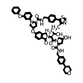 Cc1ncsc1-c1ccc(CNC(=O)[C@@H]2C[C@@H](Oc3ccc4c(c3)CN([C@H](C(=O)N3C[C@H](O)C[C@H]3C(=O)NCc3ccc(C5CCOCC5)cc3)C(C)C)C4=O)CN2c2cccc(Oc3ccccc3)c2)cc1